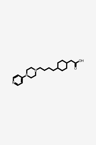 O=C(O)CC1CCC(CCCCN2CCN(c3ccncc3)CC2)CC1